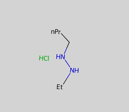 CCCCNNCC.Cl